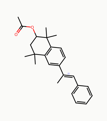 CC(=O)OC1CC(C)(C)c2cc(/C(C)=C/c3ccccc3)ccc2C1(C)C